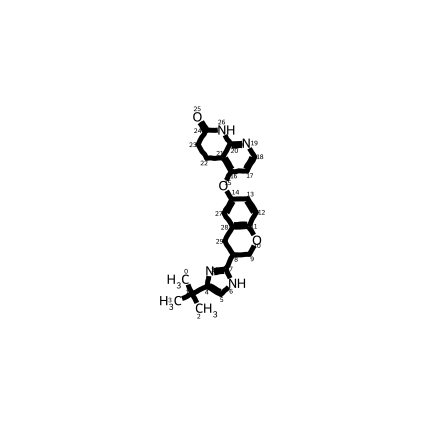 CC(C)(C)c1c[nH]c(C2COc3ccc(Oc4ccnc5c4CCC(=O)N5)cc3C2)n1